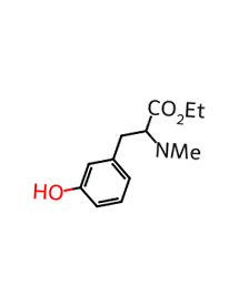 CCOC(=O)C(Cc1cccc(O)c1)NC